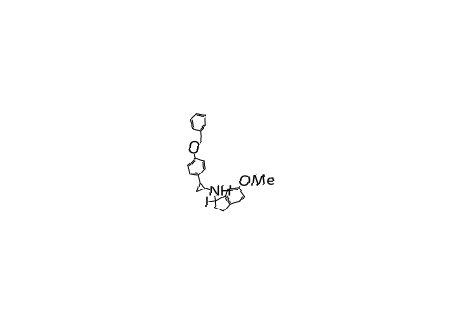 COc1ccc2c(c1)C(I)(NC1CC1c1ccc(OCc3ccccc3)cc1)CC2